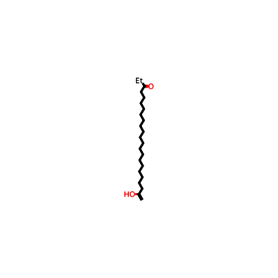 C=C(O)CCCCCCCCCCCCCCCCCCC(=O)CC